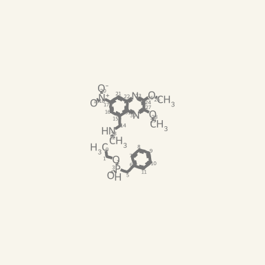 CCO[PH](=O)Cc1ccccc1.CNCc1cc([N+](=O)[O-])cc2nc(OC)c(OC)nc12